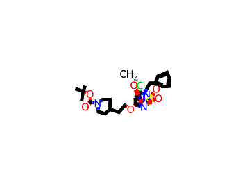 C.CC(C)(C)OC(=O)N1CCC(CCOc2nc3nc(Cl)c2C(=O)N(Cc2ccccc2)S3(=O)=O)CC1